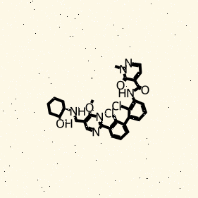 COc1nc(-c2cccc(-c3cccc(NC(=O)c4ccnn(C)c4=O)c3Cl)c2Cl)ncc1CN[C@@H]1CCCC[C@@H]1O